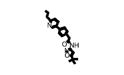 CCCc1ccc(-c2ccc(CC(=O)Nc3cc(C(C)(C)C)on3)cc2)cn1